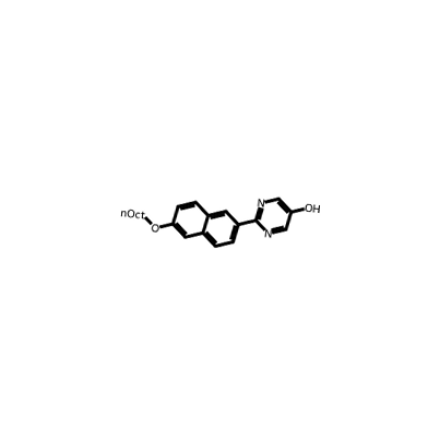 CCCCCCCCOc1ccc2cc(-c3ncc(O)cn3)ccc2c1